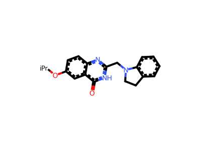 CC(C)Oc1ccc2nc(CN3CCc4ccccc43)[nH]c(=O)c2c1